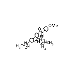 COc1ccc(NC(=O)c2ccc(-c3ccc(-c4noc(C)n4)cc3C)c(C)c2OCCN(C)C)cc1